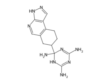 NC1=NC(N)(C2CCc3c(cnc4[nH]ncc34)C2)NC(N)=N1